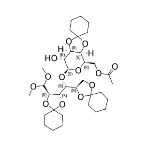 COC(OC)[C@@H]1OC2(CCCCC2)O[C@H]1[C@H](O[C@@H]1O[C@H](COC(C)=O)[C@@H]2OC3(CCCCC3)O[C@@H]2[C@H]1O)[C@H]1COC2(CCCCC2)O1